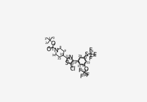 CC(C)(C)OC(=O)N1CCC(c2nc(-c3cc(OC(F)(F)F)cc(SC(F)(F)F)c3)c(Cl)s2)CC1